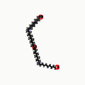 O=CCCCCCCC/C=C\CCCCCCCCOCCCCCCCC/C=C\CCCCCCCC=O